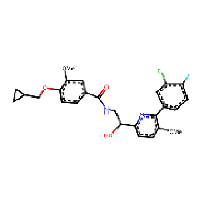 COc1cc(C(=O)NCC(O)c2ccc(OC)c(-c3ccc(F)c(Cl)c3)n2)ccc1OCC1CC1